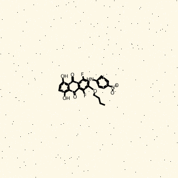 CCCCOc1c(F)c2c(c(F)c1Nc1ccc([N+](=O)[O-])cc1)C(=O)c1c(O)ccc(O)c1C2=O